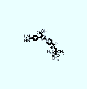 COC(=O)C(C)(C)CNC(=O)C1CCN(c2nc(-c3ccc(C(=N)N)cc3)c(C(=O)O)s2)CC1